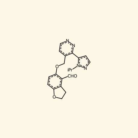 CC(C)n1nccc1-c1nnccc1COc1ccc2c(c1C=O)CCO2